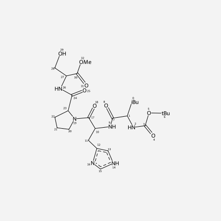 CCC(C)C(NC(=O)OC(C)(C)C)C(=O)NC(Cc1c[nH]cn1)C(=O)N1CCCC1C(=O)NC(CO)C(=O)OC